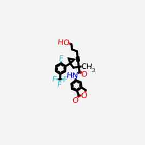 CC(C#CCCCO)(CC1(c2cc(C(F)(F)F)ccc2F)CC1)C(=O)Nc1ccc2c(c1)COC2=O